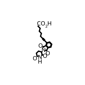 O=C(O)CCCCCC#Cc1cccc2c1C(=O)N(C1CCC(=O)NC1=O)C2=O